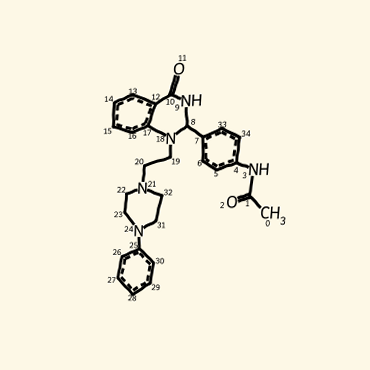 CC(=O)Nc1ccc(C2NC(=O)c3ccccc3N2CCN2CCN(c3ccccc3)CC2)cc1